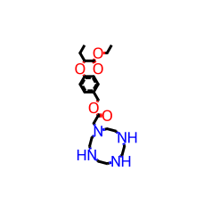 CCOC(=O)C(CC)Oc1ccc(COC(=O)CN2CCNCCNCCNCC2)cc1